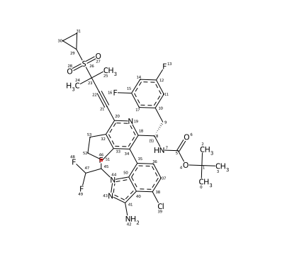 CC(C)(C)OC(=O)N[C@@H](Cc1cc(F)cc(F)c1)c1nc(C#CC(C)(C)S(=O)(=O)C2CC2)c2c(c1-c1ccc(Cl)c3c(N)nn(C(F)C(F)F)c13)CCC2